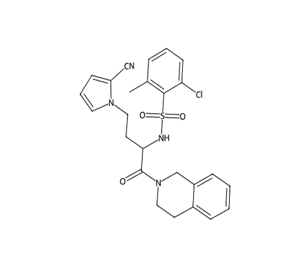 Cc1cccc(Cl)c1S(=O)(=O)NC(CCn1cccc1C#N)C(=O)N1CCc2ccccc2C1